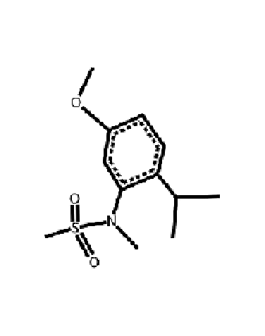 COc1ccc(C(C)C)c(N(C)S(C)(=O)=O)c1